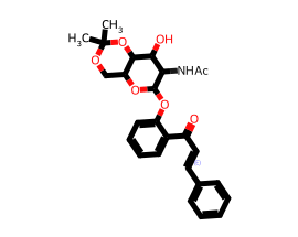 CC(=O)NC1C(Oc2ccccc2C(=O)/C=C/c2ccccc2)OC2COC(C)(C)OC2C1O